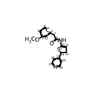 COc1cccc(CC(=O)NC2=CCC(c3ccncc3)S2)c1